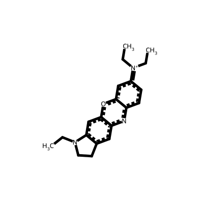 CCN1CCc2cc3nc4ccc(=[N+](CC)CC)cc-4oc3cc21